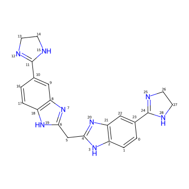 c1cc2[nH]c(Cc3nc4cc(C5=NCCN5)ccc4[nH]3)nc2cc1C1=NCCN1